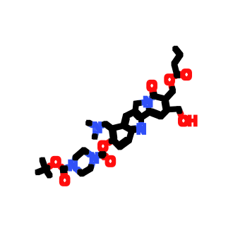 CCCC(=O)OCc1c(CO)cc2n(c1=O)Cc1cc3c(CN(C)C)c(OC(=O)N4CCN(C(=O)OC(C)(C)C)CC4)ccc3nc1-2